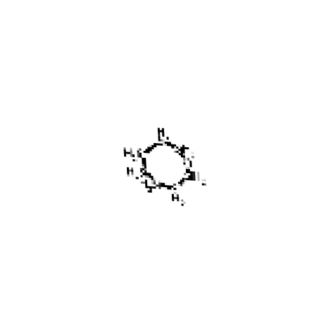 O1[SiH2][SiH2][SiH2][SiH2][SiH2][SiH2][SiH2]1